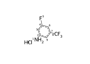 Cl.Nc1cc(F)cc(C(F)(F)F)c1